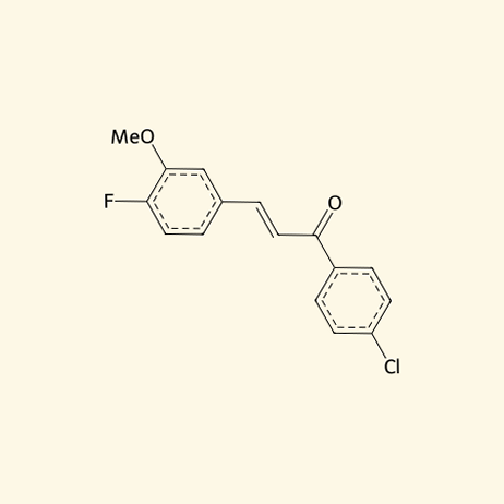 COc1cc(C=CC(=O)c2ccc(Cl)cc2)ccc1F